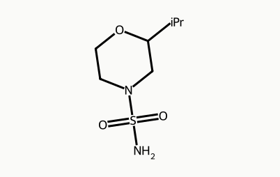 CC(C)C1CN(S(N)(=O)=O)CCO1